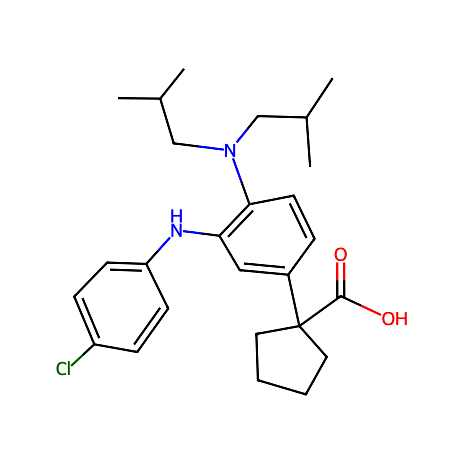 CC(C)CN(CC(C)C)c1ccc(C2(C(=O)O)CCCC2)cc1Nc1ccc(Cl)cc1